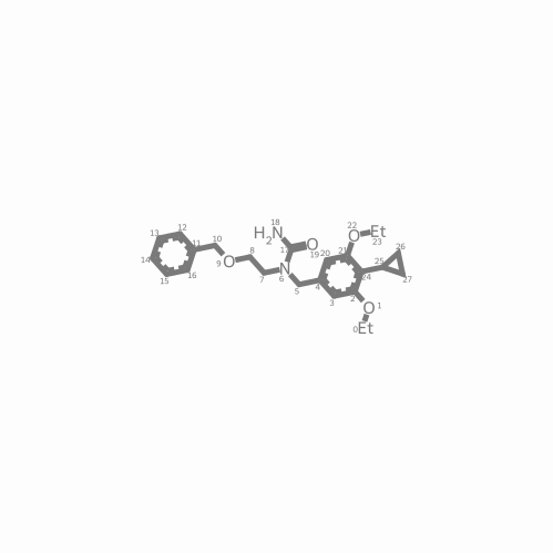 CCOc1cc(CN(CCOCc2ccccc2)C(N)=O)cc(OCC)c1C1CC1